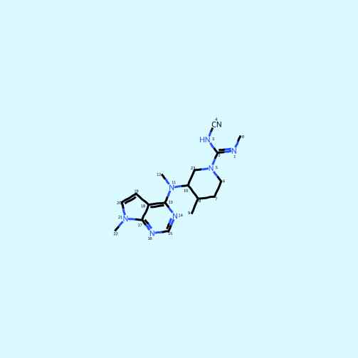 CN=C(NC#N)N1CCC(C)C(N(C)c2ncnc3c2ccn3C)C1